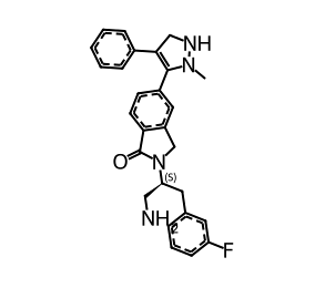 CN1NCC(c2ccccc2)=C1c1ccc2c(c1)CN([C@H](CN)Cc1cccc(F)c1)C2=O